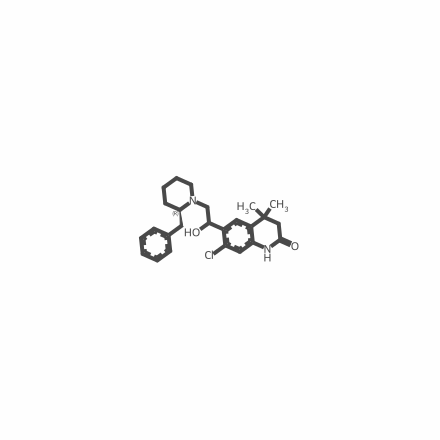 CC1(C)CC(=O)Nc2cc(Cl)c(C(O)CN3CCCC[C@@H]3Cc3ccccc3)cc21